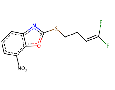 O=[N+]([O-])c1cccc2nc(SCCC=C(F)F)oc12